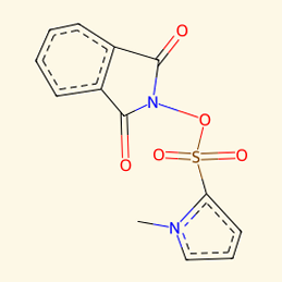 Cn1cccc1S(=O)(=O)ON1C(=O)c2ccccc2C1=O